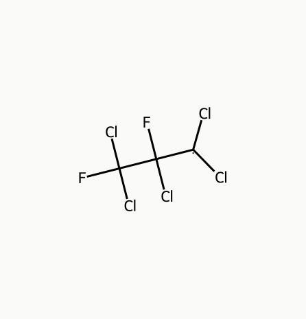 FC(Cl)(Cl)C(F)(Cl)[C](Cl)Cl